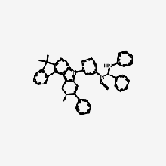 C=CN(c1cccc(-n2c3c(c4c5c(ccc42)C(C)(C)c2ccccc2-5)CC(C)C(c2ccccc2)=C3)c1)C(Nc1ccccc1)c1ccccc1